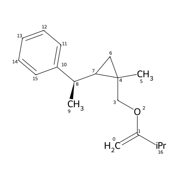 C=C(OCC1(C)CC1[C@@H](C)c1ccccc1)C(C)C